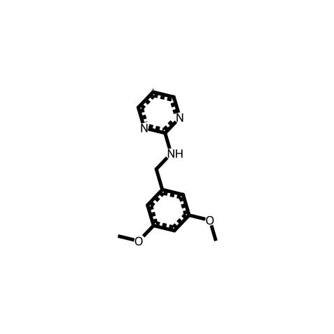 COc1cc(CNc2nc[c]cn2)cc(OC)c1